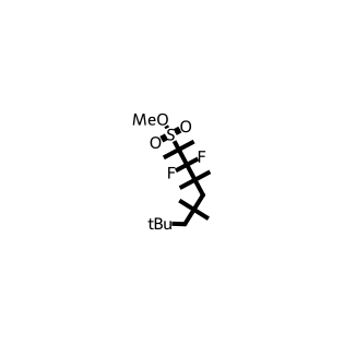 COS(=O)(=O)C(C)(C)C(F)(F)C(C)(C)CC(C)(C)CC(C)(C)C